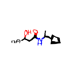 CCCC(O)CC(=O)NC(C)c1ccccc1